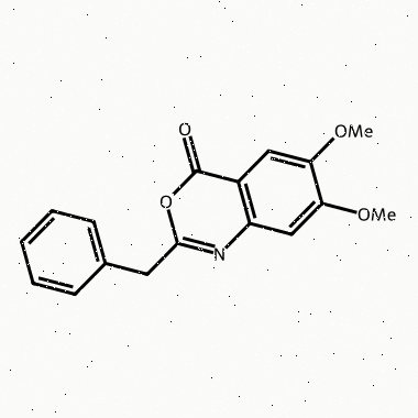 COc1cc2nc(Cc3ccccc3)oc(=O)c2cc1OC